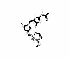 CO[13c]1[13cH][13c](O[C@@H]2C[C@H](C)N(Cc3sc(NC(C)=O)nc3F)C2)ncn1